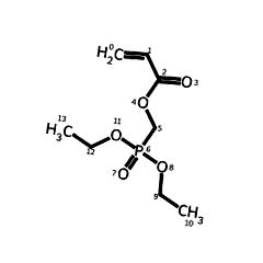 C=CC(=O)OCP(=O)(OCC)OCC